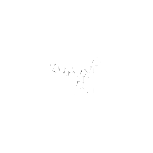 Cc1cc(-c2nc(C(=O)Nc3cc4sc(N5CCOCC5)nc4nc3N3CCCC(N)C3)co2)ccn1.Cl